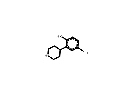 Cc1ccc(N)cc1C1CCNCC1